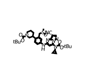 C[S+]([O-])Cc1cc(Nc2cc(N(C(=O)OC(C)(C)C)C3CC3)n3ncc(C#N)c3n2)ccc1C1CCCN(C(=O)OC(C)(C)C)C1